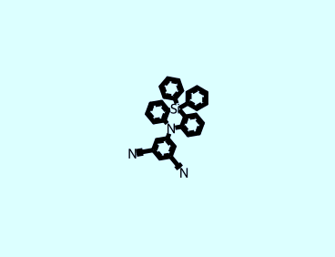 N#Cc1cc(C#N)cc(N2c3ccccc3[Si](c3ccccc3)(c3ccccc3)c3ccccc32)c1